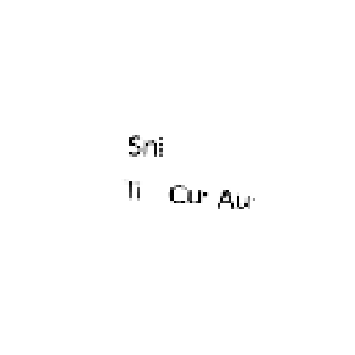 [Au].[Cu].[Sn].[Ti]